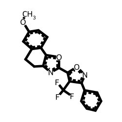 COc1ccc2c(c1)CCc1nc(-c3onc(-c4ccccc4)c3C(F)(F)F)oc1-2